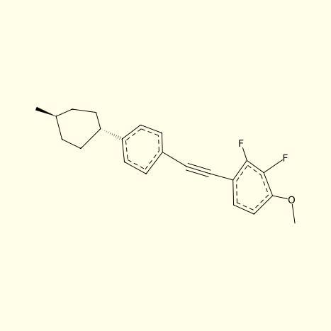 COc1ccc(C#Cc2ccc([C@H]3CC[C@H](C)CC3)cc2)c(F)c1F